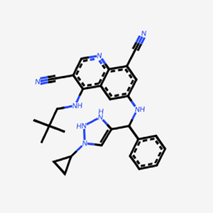 CC(C)(C)CNc1c(C#N)cnc2c(C#N)cc(NC(C3=CN(C4CC4)NN3)c3ccccc3)cc12